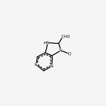 O=CC1Nc2cncnc2N1Cl